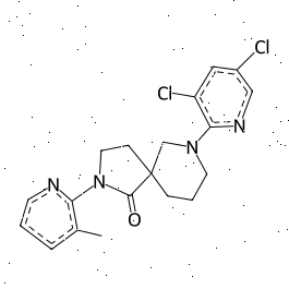 Cc1cccnc1N1CCC2(CCCN(c3ncc(Cl)cc3Cl)C2)C1=O